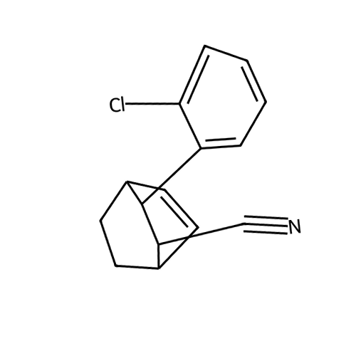 N#CC1C2C=CC(CC2)C1c1ccccc1Cl